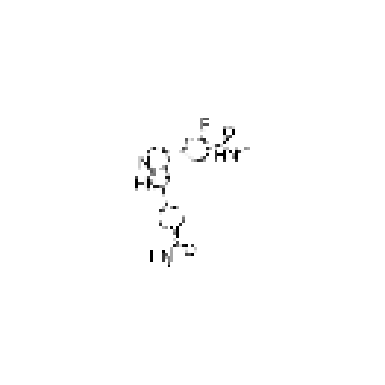 CNC(=O)c1ccc(-c2ccnc3[nH]c(C4=CCN(C(=O)NC)CC4)cc23)cc1F